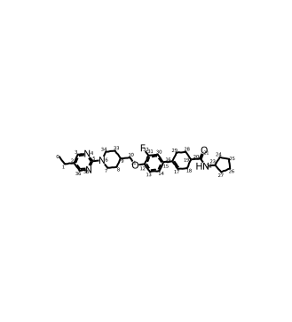 CCc1cnc(N2CCC(COc3ccc(C4=CCC(C(=O)NC5CCCC5)CC4)cc3F)CC2)nc1